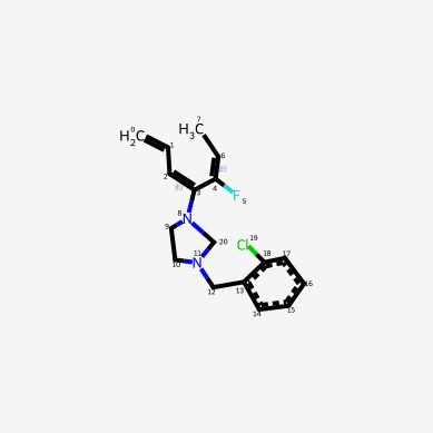 C=C/C=C(\C(F)=C/C)N1CCN(Cc2ccccc2Cl)C1